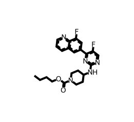 CCCCOC(=O)N1CCC(Nc2ncc(F)c(-c3cc(F)c4ncccc4c3)n2)CC1